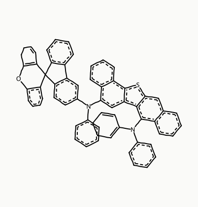 C1=CC(N(c2ccccc2)c2c3ccccc3cc3sc4c5ccccc5c(N(c5ccccc5)c5ccc6c(c5)-c5ccccc5C65C6=C(CCC=C6)Oc6ccccc65)cc4c23)=CCC1